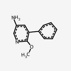 COc1ncc(N)cc1-c1ccccc1